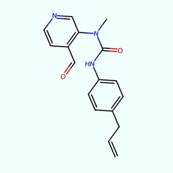 C=CCc1ccc(NC(=O)N(C)c2cnccc2C=O)cc1